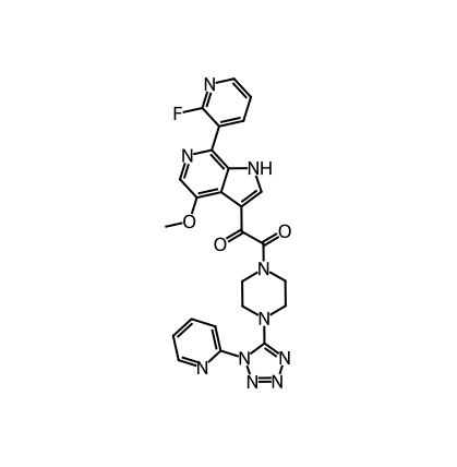 COc1cnc(-c2cccnc2F)c2[nH]cc(C(=O)C(=O)N3CCN(c4nnnn4-c4ccccn4)CC3)c12